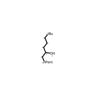 CCCCCCC(O)CCCC(C)(C)C